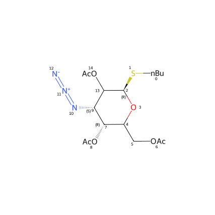 CCCCS[C@H]1OC(COC(C)=O)[C@H](OC(C)=O)[C@H](N=[N+]=[N-])C1OC(C)=O